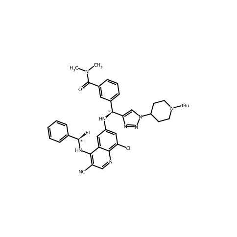 CC[C@@H](Nc1c(C#N)cnc2c(Cl)cc(N[C@@H](c3cccc(C(=O)N(C)C)c3)c3cn(C4CCN(C(C)(C)C)CC4)nn3)cc12)c1ccccc1